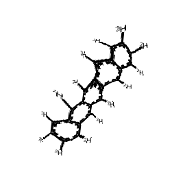 [2H]c1c([2H])c([2H])c2c([2H])c3c([2H])c4c([2H])c5c([2H])c([2H])c([2H])c([2H])c5c([2H])c4c([2H])c3c([2H])c2c1[2H]